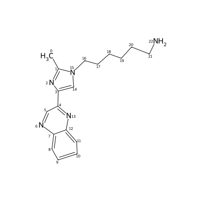 Cc1nc(-c2cnc3ccccc3n2)cn1CCCCCCN